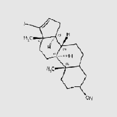 C[C@]12CCC(O)CC1CC[C@@H]1[C@@H]2CC[C@]2(C)C(I)=CC[C@@H]12